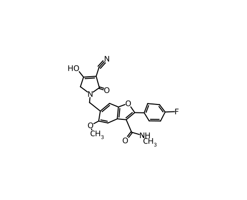 CNC(=O)c1c(-c2ccc(F)cc2)oc2cc(CN3CC(O)=C(C#N)C3=O)c(OC)cc12